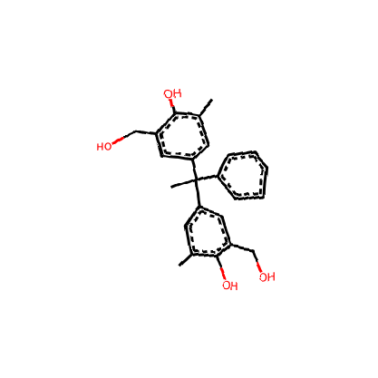 Cc1cc(C(C)(c2ccccc2)c2cc(C)c(O)c(CO)c2)cc(CO)c1O